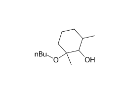 CCCCOC1(C)CCCC(C)C1O